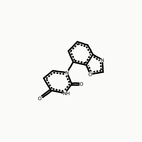 O=c1ccn(-c2cccc3ncoc23)c(=O)[nH]1